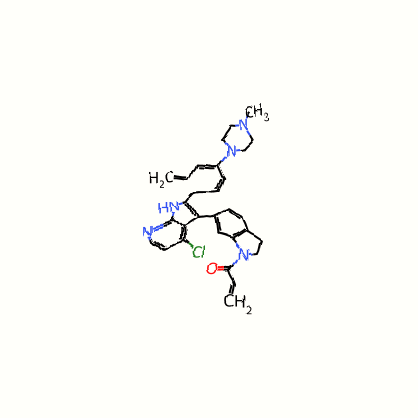 C=C/C=C(\C=C/Cc1[nH]c2nccc(Cl)c2c1-c1ccc2c(c1)N(C(=O)C=C)CC2)N1CCN(C)CC1